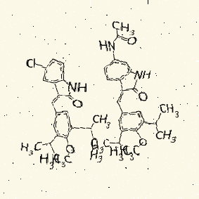 COc1c(C(C)C)cc(C=C2C(=O)Nc3cc(NC(C)=O)ccc32)cc1C(C)C.COc1c(C(C)C)cc(C=C2C(=O)Nc3ccc(Cl)cc32)cc1C(C)C